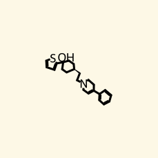 O[C@]1(c2cccs2)CC[C@H](CCN2CC=C(c3ccccc3)CC2)CC1